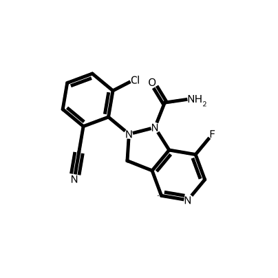 N#Cc1cccc(Cl)c1N1Cc2[c]ncc(F)c2N1C(N)=O